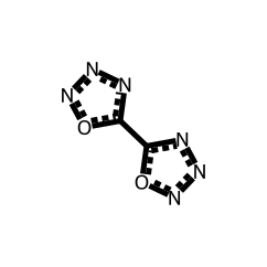 n1noc(-c2nnno2)n1